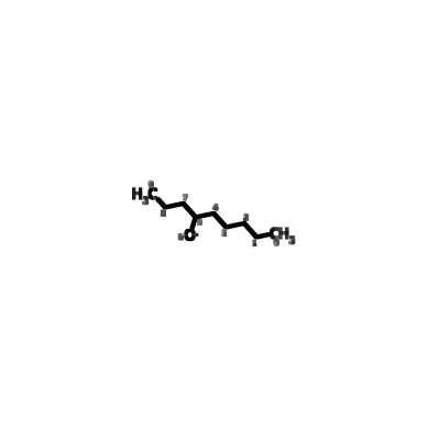 CCCCCC([O])CCC